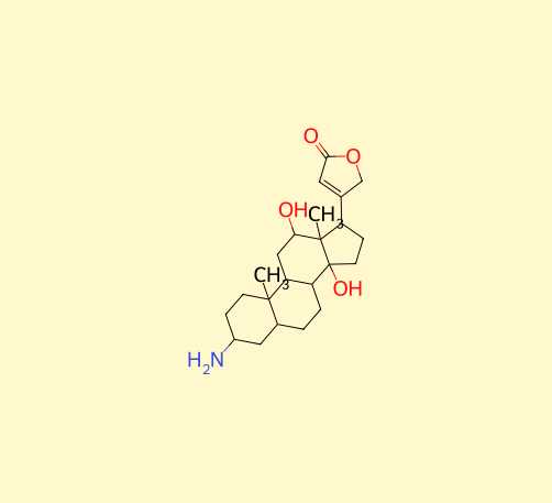 CC12CCC(N)CC1CCC1C2CC(O)C2(C)C(C3=CC(=O)OC3)CCC12O